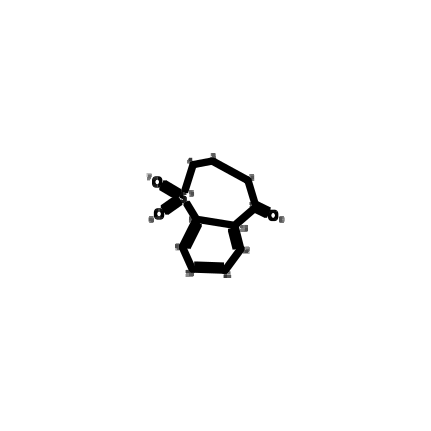 O=C1CCCS(=O)(=O)c2ccccc21